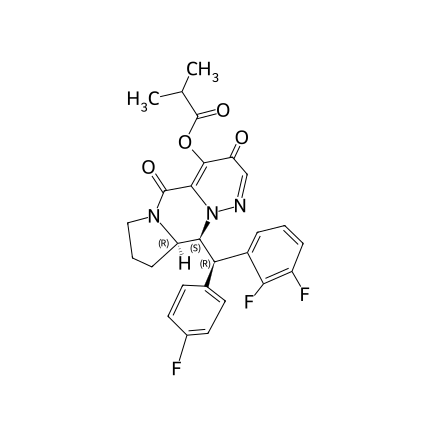 CC(C)C(=O)Oc1c2n(ncc1=O)[C@@H]([C@H](c1ccc(F)cc1)c1cccc(F)c1F)[C@H]1CCCN1C2=O